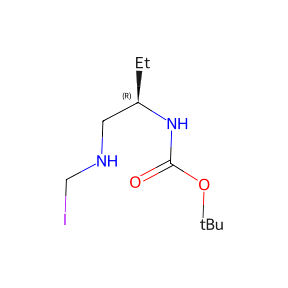 CC[C@H](CNCI)NC(=O)OC(C)(C)C